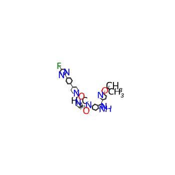 CCN(C(=O)[C@@H]1CCN(CC(=O)N2CC=C(c3ccc(-c4ncc(F)cn4)cc3)CC2)C1)c1ccc2[nH]nc(-c3ccc(OC(C)C)nc3)c2c1